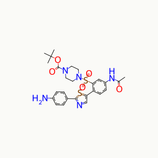 CC(=O)Nc1ccc(-c2cnc(-c3ccc(N)cc3)s2)c(S(=O)(=O)N2CCN(C(=O)OC(C)(C)C)CC2)c1